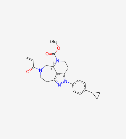 C=CC(=O)N1CCc2nn(-c3ccc(C4CC4)cc3)c3c2[C@@H](C1)N(C(=O)OC(C)(C)C)CC3